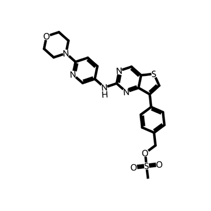 CS(=O)(=O)OCc1ccc(-c2csc3cnc(Nc4ccc(N5CCOCC5)nc4)nc23)cc1